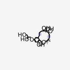 C[C@@H]1/C=C\C(=O)[C@@H](O)[C@@H](O)C/C=C/c2cc(OCC(O)CO)cc(O)c2C(=O)O[C@H]1C